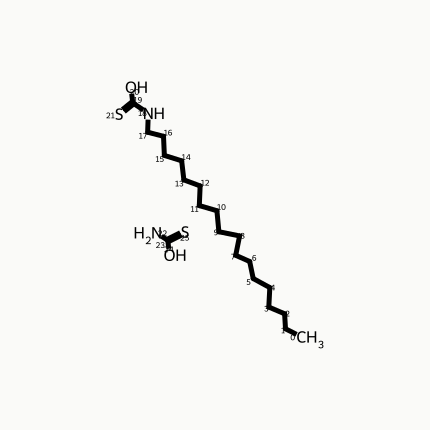 CCCCCCCCCCCCCCCCCCNC(O)=S.NC(O)=S